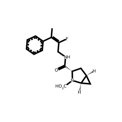 C/C(=C(\F)CNC(=O)[C@@H]1C[C@H]2C[C@H]2N1C(=O)O)c1ccccc1